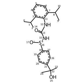 CC(C)c1cccc(C(C)C)c1NC(=O)N[S+]([O-])c1ccc(C(C)(C)O)cc1